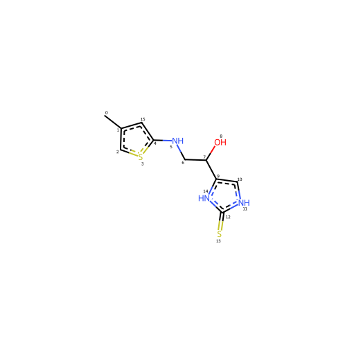 Cc1csc(NCC(O)c2c[nH]c(=S)[nH]2)c1